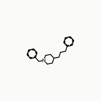 c1ccc(CCCC2CCN(Cc3ccccc3)CC2)cc1